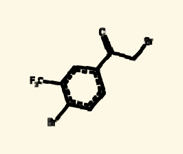 O=C(CBr)c1ccc(Br)c(C(F)(F)F)c1